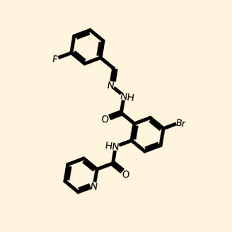 O=C(Nc1ccc(Br)cc1C(=O)N/N=C/c1cccc(F)c1)c1ccccn1